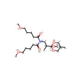 COCCCCC(=O)N(CC(C)C12OCC(C)(CO1)CO2)C(=O)CCCCOC